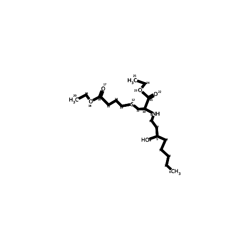 CCCCCC(O)CCNC(CSCCCC(=O)OCC)C(=O)OCC